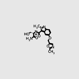 Cc1ncc(COc2ccc3nn(C)c(C(=O)N[C@@H](CO)C(N)=O)c3c2)o1